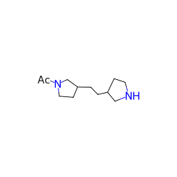 CC(=O)N1CCC(CCC2CCNC2)C1